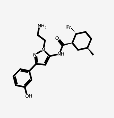 CC(C)[C@@H]1CC[C@@H](C)C[C@H]1C(=O)Nc1cc(-c2cccc(O)c2)nn1CCN